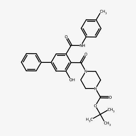 Cc1ccc(NC(=O)c2cc(-c3ccccc3)cc(O)c2C(=O)N2CCN(C(=O)OC(C)(C)C)CC2)cc1